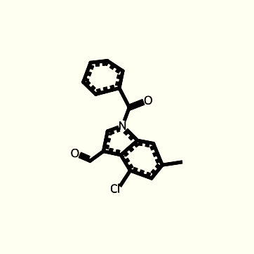 Cc1cc(Cl)c2c(C=O)cn(C(=O)c3ccccc3)c2c1